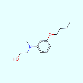 CCCCOc1cccc(N(C)CCO)c1